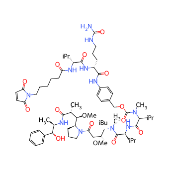 CC[C@H](C)[C@@H]([C@@H](CC(=O)N1CCC[C@H]1[C@H](OC)[C@@H](C)C(=O)N[C@H](C)[C@@H](O)c1ccccc1)OC)N(C)C(=O)[C@@H](NC(=O)C(C(C)C)N(C)C(=O)OCc1ccc(NC(=O)[C@@H](CCCNC(N)=O)NC(=O)[C@H](NC(=O)CCCCCN2C(=O)C=CC2=O)C(C)C)cc1)C(C)C